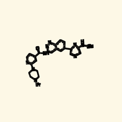 CC(C)N1CCN(c2cc(C(=O)Nc3cc4cc(-c5cncc(NC(C)(C)C)n5)ccc4nn3)ccn2)CC1